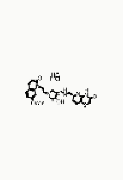 COc1ccc2ccc(=O)n(CCN3C[C@@H](CNCc4ccc5c(n4)NC(=O)CS5)[C@@H](O)C3)c2c1.Cl.Cl